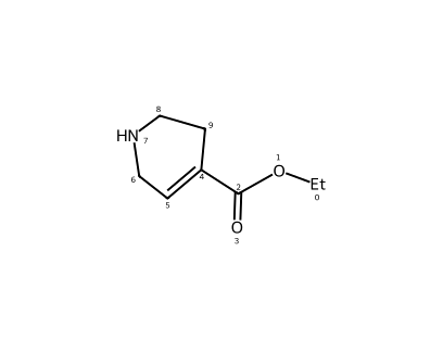 CCOC(=O)C1=CCNCC1